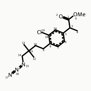 COC(=O)C(C)c1ccc(CCC(C)(C)CN=[N+]=[N-])c(Cl)c1